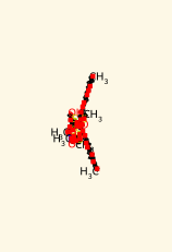 CCCCCCCCCCCCCCCCc1cc(C2=c3c(c4sc(OC)cc4c4cc(CO)sc34)=C(c3cc(CCCCCCCCCCCCCCCC)c(-c4sc(C)c5c4C(=O)N(C)C5=O)s3)C2=O)sc1C